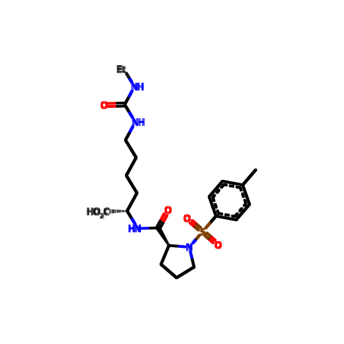 CCNC(=O)NCCCC[C@H](NC(=O)[C@@H]1CCCN1S(=O)(=O)c1ccc(C)cc1)C(=O)O